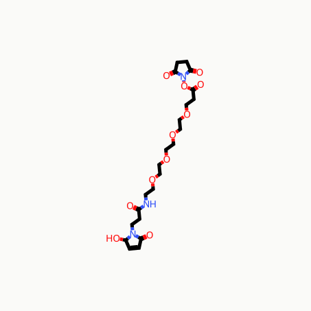 O=C(CCN1C(=O)C=CC1O)NCCOCCOCCOCCOCCC(=O)ON1C(=O)CCC1=O